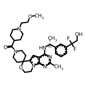 COCCN1CCC(C(=O)N2CCC3(CC2)OCCn2c3cc3c(N[C@H](C)c4cccc(C(F)(F)CO)c4)nc(C)nc32)CC1